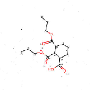 CCCOC(=O)C1CCCC(C(=O)O)C1C(=O)OCCC